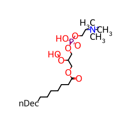 CCCCCCCCCCCCCCCCC(=O)OCC(COP(=O)(O)OCC[N+](C)(C)C)OO